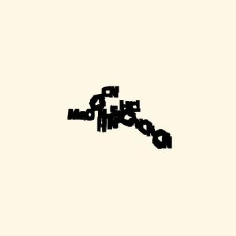 COc1ccc(C#N)cc1Nc1nc2cc(N3CCN(c4ccncc4)CC3)ccc2s1.Cl